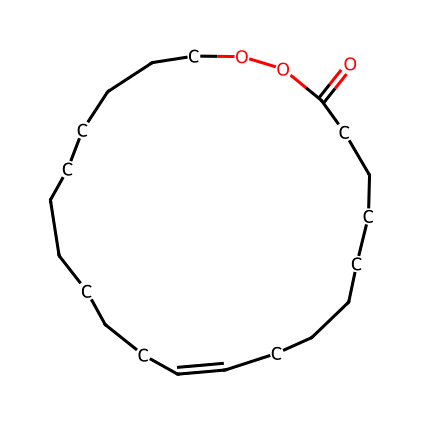 O=C1CCCCCCCC=CCCCCCCCCCCOO1